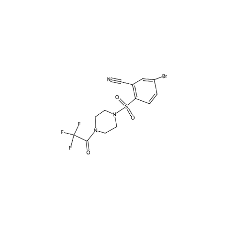 N#Cc1cc(Br)ccc1S(=O)(=O)N1CCN(C(=O)C(F)(F)F)CC1